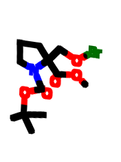 COC(=O)C1(COBr)CCCN1C(=O)OC(C)(C)C